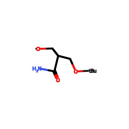 CC(C)(C)OCC(C[O])C(N)=O